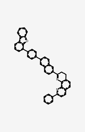 c1ccc(-c2ccc3ccc4c(c3n2)N=C(c2ccc3cc(-c5ccc(-c6cccc7c6oc6ccccc67)cc5)ccc3c2)CC4)cc1